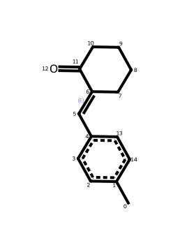 Cc1ccc(/C=C2\CCCCC2=O)cc1